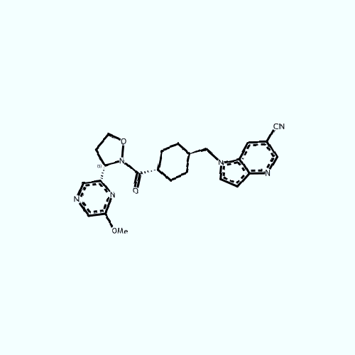 COc1cncc([C@@H]2CCON2C(=O)[C@H]2CC[C@H](Cn3ccc4ncc(C#N)cc43)CC2)n1